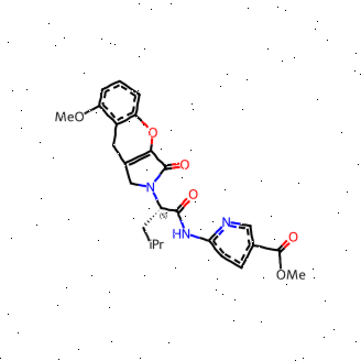 COC(=O)c1ccc(NC(=O)[C@H](CC(C)C)N2CC3=C(Oc4cccc(OC)c4C3)C2=O)nc1